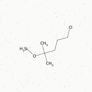 CC(C)(CCCCl)O[SiH3]